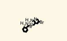 NC(=NOCc1cc(Br)cnc1N)c1ccccc1